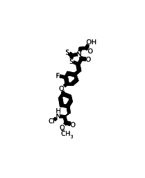 COC(=O)[C@H](Cc1ccc(Oc2ccc(/C=C3\SC(=S)N(CC(=O)O)C3=O)cc2F)cc1)NCl